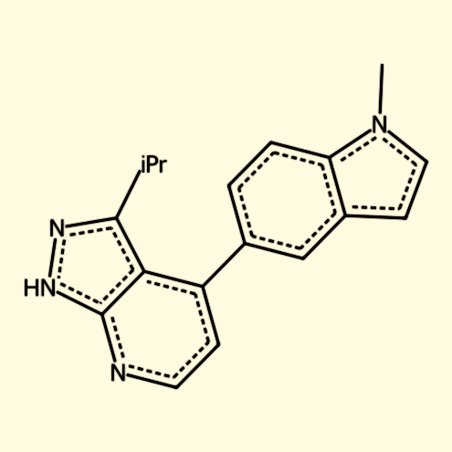 CC(C)c1n[nH]c2nccc(-c3ccc4c(ccn4C)c3)c12